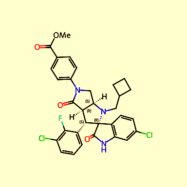 COC(=O)c1ccc(N2C[C@@H]3[C@H](C2=O)[C@@H](c2cccc(Cl)c2F)[C@@]2(C(=O)Nc4cc(Cl)ccc42)N3CC2CCC2)cc1